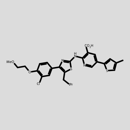 COCCOc1ccc(-c2nc(Nc3ncc(-c4cc(C)cs4)cc3C(=O)O)sc2CC(C)C)cc1Cl